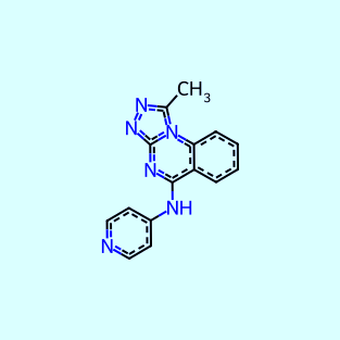 Cc1nnc2nc(Nc3ccncc3)c3ccccc3n12